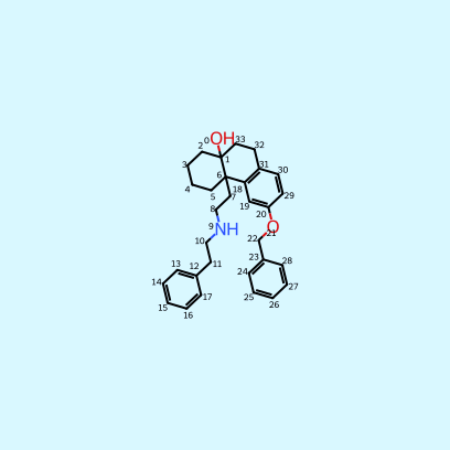 OC12CCCCC1(CCNCCc1ccccc1)c1cc(OCc3ccccc3)ccc1CC2